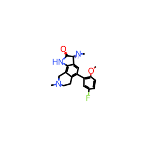 C/N=C1/C(=O)Nc2c1cc(-c1cc(F)ccc1OC)c1c2CN(C)CC1